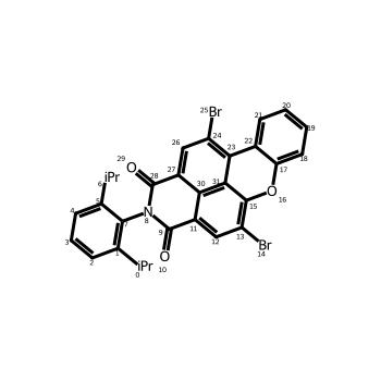 CC(C)c1cccc(C(C)C)c1-n1c(=O)c2cc(Br)c3oc4ccccc4c4c(Br)cc(c1=O)c2c34